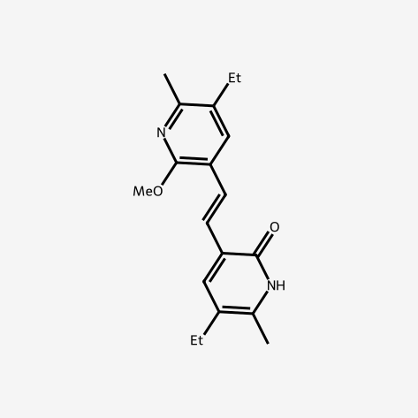 CCc1cc(C=Cc2cc(CC)c(C)[nH]c2=O)c(OC)nc1C